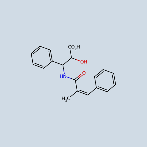 CC(=Cc1ccccc1)C(=O)NC(c1ccccc1)C(O)C(=O)O